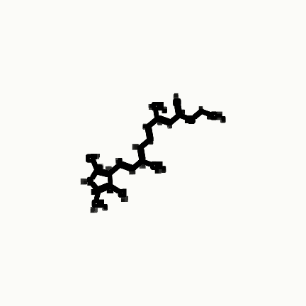 CCOC(=O)C=C(C)C=CC=C(C)C=Cc1c(Cl)sc(C)c1Cl